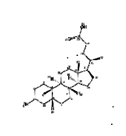 [2H]C1CC[C@@]2(C)[C@H](CC[C@@H]3[C@@H]2CC[C@]2(C)[C@@H]([C@H](C)CCC(=O)O)CC[C@@H]32)C1